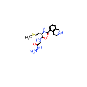 CSCC[C@H](NC(=O)c1cccc2c1CCNC2)C(=O)NCC(=O)NN